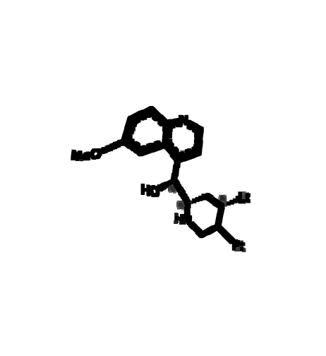 CCC1CN[C@H]([C@@H](O)c2ccnc3ccc(OC)cc23)C[C@@H]1CC